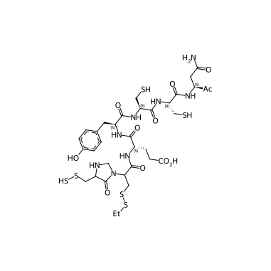 CCSSCC(C(=O)N[C@@H](CCC(=O)O)C(=O)N[C@@H](Cc1ccc(O)cc1)C(=O)N[C@@H](CS)C(=O)N[C@@H](CS)C(=O)N[C@@H](CC(N)=O)C(C)=O)N1CNC(CSS)C1=O